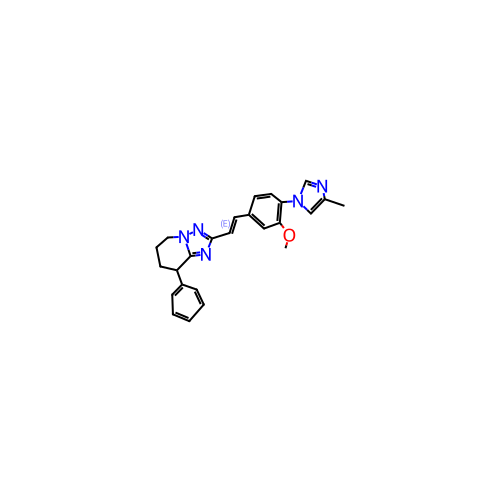 COc1cc(/C=C/c2nc3n(n2)CCCC3c2ccccc2)ccc1-n1cnc(C)c1